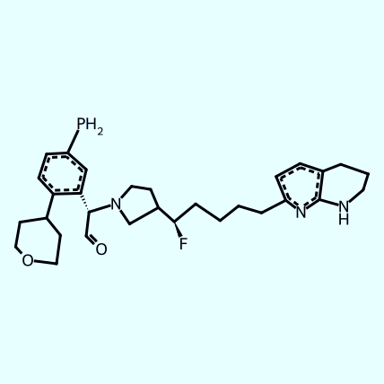 O=C[C@H](c1cc(P)ccc1C1CCOCC1)N1CCC([C@H](F)CCCCc2ccc3c(n2)NCCC3)C1